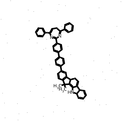 CC1(C)C2=C3NC4C=CC=CC4C3=CCC2c2cc(-c3ccc(-c4ccc(C5=NC(c6ccccc6)=CCC(c6ccccc6)=N5)cc4)cc3)ccc21